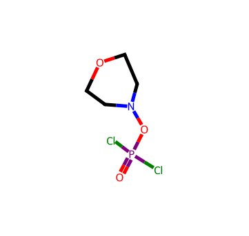 O=P(Cl)(Cl)ON1CCOCC1